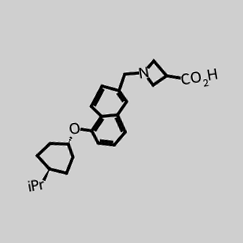 CC(C)[C@H]1CC[C@H](Oc2cccc3cc(CN4CC(C(=O)O)C4)ccc23)CC1